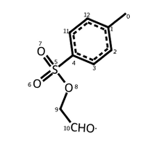 Cc1ccc(S(=O)(=O)OC[C]=O)cc1